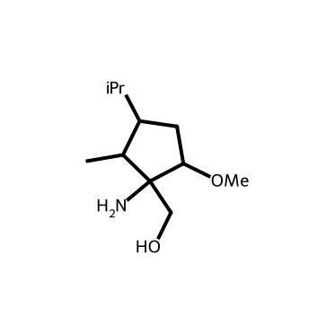 COC1CC(C(C)C)C(C)C1(N)CO